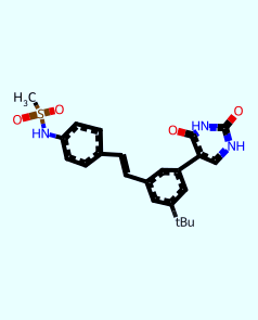 CC(C)(C)c1cc(C=Cc2ccc(NS(C)(=O)=O)cc2)cc(-c2c[nH]c(=O)[nH]c2=O)c1